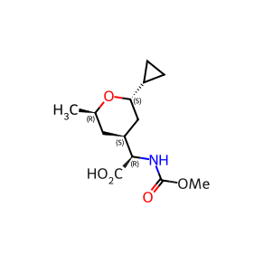 COC(=O)N[C@@H](C(=O)O)[C@H]1C[C@@H](C)O[C@H](C2CC2)C1